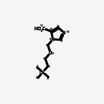 C[Si](C)(C)CCOCn1cncc1C(=O)O